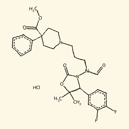 COC(=O)C1(c2ccccc2)CCN(CCCN(C=O)N2C(=O)OC(C)(C)C2c2ccc(F)c(F)c2)CC1.Cl